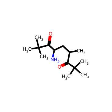 CC(CC(N)C(=O)C(C)(C)C)C(=O)C(C)(C)C